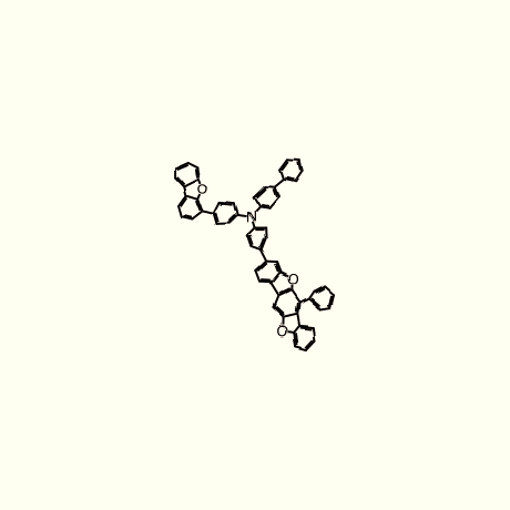 c1ccc(-c2ccc(N(c3ccc(-c4ccc5c(c4)oc4c(-c6ccccc6)c6c(cc45)oc4ccccc46)cc3)c3ccc(-c4cccc5c4oc4ccccc45)cc3)cc2)cc1